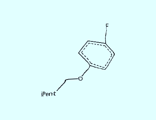 CCCC(C)COc1ccc(F)cc1